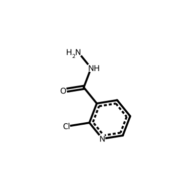 NNC(=O)c1cccnc1Cl